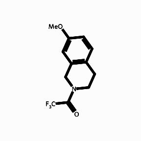 COc1ccc2c(c1)CN(C(=O)C(F)(F)F)CC2